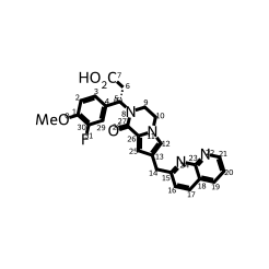 COc1ccc([C@H](CC(=O)O)N2CCn3cc(Cc4ccc5cccnc5n4)cc3C2=O)cc1F